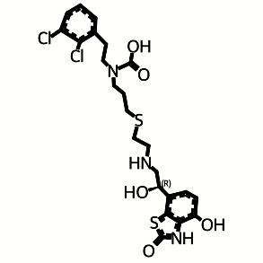 O=C(O)N(CCCSCCNC[C@H](O)c1ccc(O)c2[nH]c(=O)sc12)CCc1cccc(Cl)c1Cl